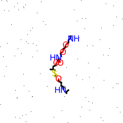 CNCCOCCOCCNC(=O)OCCC(C)(C)SSCOCCCCNC(C)C